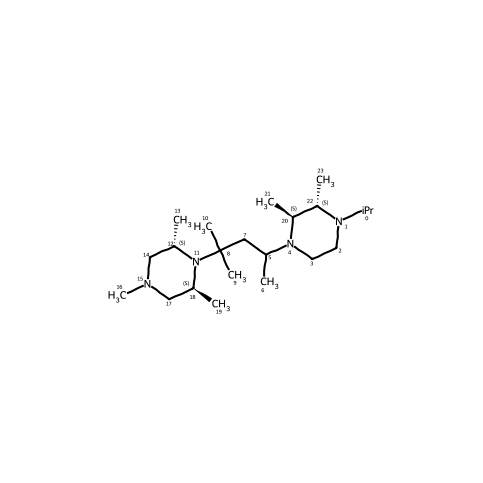 CC(C)N1CCN(C(C)CC(C)(C)N2[C@@H](C)CN(C)C[C@@H]2C)[C@@H](C)[C@@H]1C